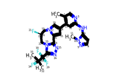 Cc1cnc(Nc2ccnn2C)cc1-c1cc2n(c1)C[C@H](F)Cn1c-2nnc1C(F)(F)C(C)(C)F